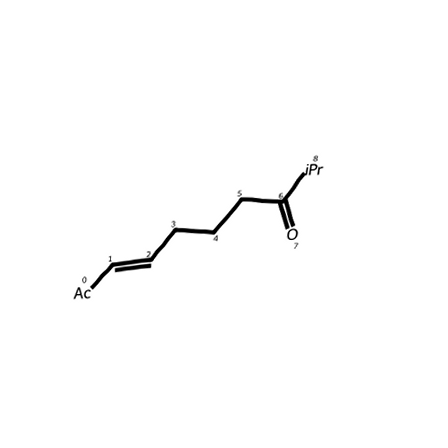 CC(=O)/C=C/CCCC(=O)C(C)C